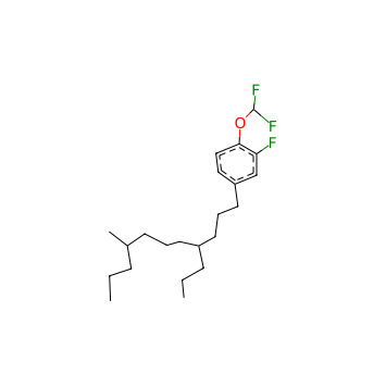 CCCC(C)CCCC(CCC)CCCc1ccc(OC(F)F)c(F)c1